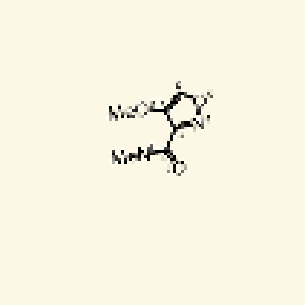 CNC(=O)c1nocc1OC